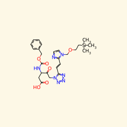 C[Si](C)(C)CCOCn1ccnc1C=Cc1nnnn1CC(=O)C(CC(=O)O)NC(=O)OCc1ccccc1